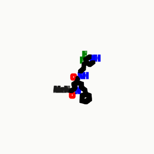 CNC(=O)c1cc(C(=O)NCCCC2CCNCC2(F)F)cc(Cc2ccccc2)n1